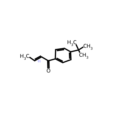 C/C=C/C(=O)c1ccc(C(C)(C)C)cc1